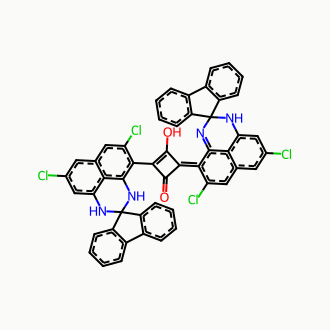 O=C1C(c2c(Cl)cc3cc(Cl)cc4c3c2NC2(N4)c3ccccc3-c3ccccc32)=C(O)/C1=c1/c(Cl)cc2cc(Cl)cc3c2c1=NC1(N3)c2ccccc2-c2ccccc21